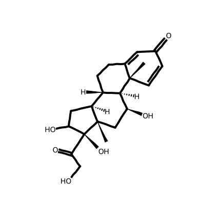 C[C@]12C=CC(=O)C=C1CC[C@@H]1[C@@H]2[C@@H](O)C[C@@]2(C)[C@H]1CC(O)[C@@]2(O)C(=O)CO